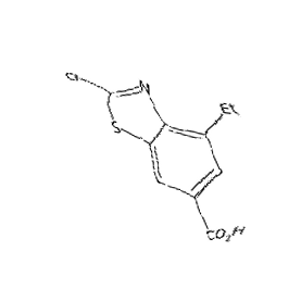 CCc1cc(C(=O)O)cc2sc(Cl)nc12